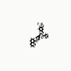 O=C(c1cscn1)N(Cc1cccc(OC(F)(F)F)c1)CC1C2CN(Cc3cccc4cccnc34)CC21